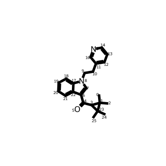 CC1(C)C(C(=O)c2cn(CCc3cccnc3)c3ccccc23)C1(C)C